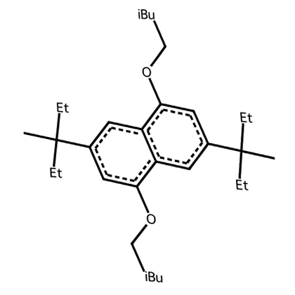 CCC(C)COc1cc(C(C)(CC)CC)cc2c(OCC(C)CC)cc(C(C)(CC)CC)cc12